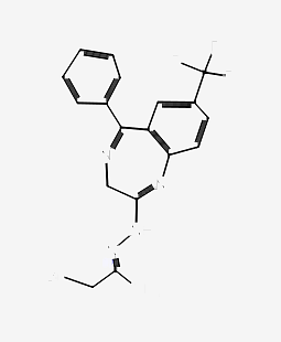 C/C(CBr)=N\NC1=Nc2ccc(C(F)(F)F)cc2C(c2ccccc2)=NC1